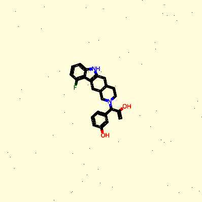 C=C(O)C(c1cccc(O)c1)N1CCC2Cc3[nH]c4cccc(F)c4c3CC2C1